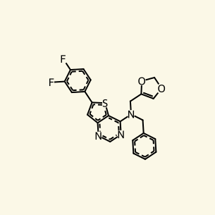 Fc1ccc(-c2cc3ncnc(N(CC4=COCO4)Cc4ccccc4)c3s2)cc1F